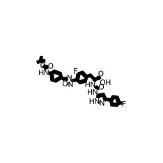 CC(C)(C)OC(=O)Nc1ccc(-c2nc(-c3ccc(CC(NC(=O)Nc4cc(-c5ccc(F)cc5)n[nH]4)C(=O)O)cc3F)no2)cc1